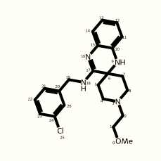 COCCN1CCC2(CC1)Nc1ccccc1N=C2NCc1cccc(Cl)c1